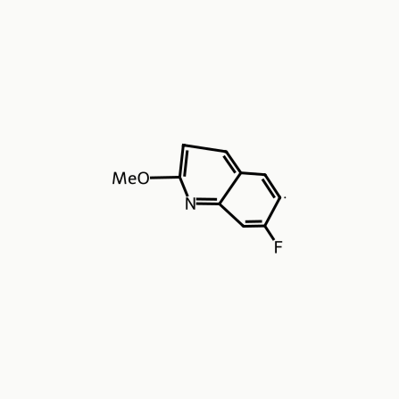 COc1ccc2c[c]c(F)cc2n1